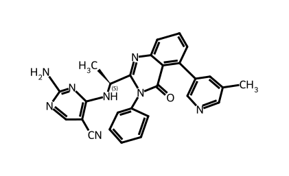 Cc1cncc(-c2cccc3nc([C@H](C)Nc4nc(N)ncc4C#N)n(-c4ccccc4)c(=O)c23)c1